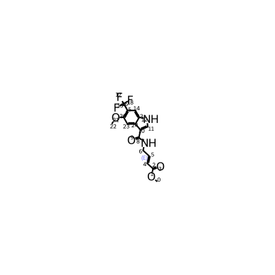 COC(=O)/C=C/CNC(=O)c1c[nH]c2cc(C(F)(F)F)c(OC)cc12